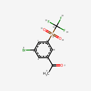 CC(=O)c1cc(Br)cc(S(=O)(=O)C(F)(F)F)c1